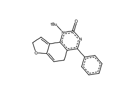 CC(C)(C)n1c2c(c(-c3ccccc3)nc1=O)CC=C1OCC=C12